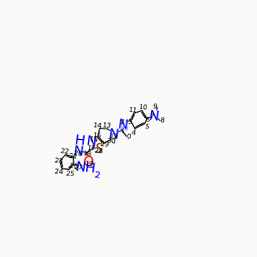 C/C(=N\c1ccc(N(C)C)cc1)N1CCc2nc(C(=O)Nc3ccccc3N)sc2C1